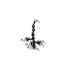 C=C(C)C(=O)OCCCc1cc(-c2ccc(OCC3CCC(C4CCC(CCCCC)CC4)CC3)cc2)ccc1OCC(COC(=O)CC(=C)C(=O)OC)(COC(=O)CC(=C)C(=O)OC)COC(=O)C(=C)C